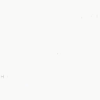 COc1ccc(COCCCC/C=C\CO)cc1